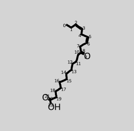 CC/C=C\C/C=C\CC(=O)CCCCCCCCCCC(=O)O